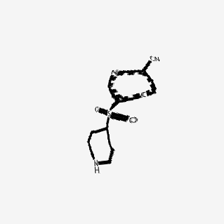 N#Cc1ccc(S(=O)(=O)C2CCNCC2)cn1